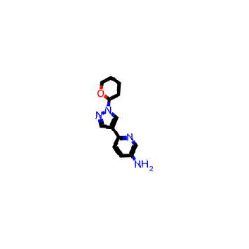 Nc1ccc(-c2cnn(C3CCCCO3)c2)nc1